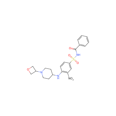 O=C(NS(=O)(=O)c1ccc(NC2CCN(C3COC3)CC2)c([N+](=O)[O-])c1)c1ccccc1